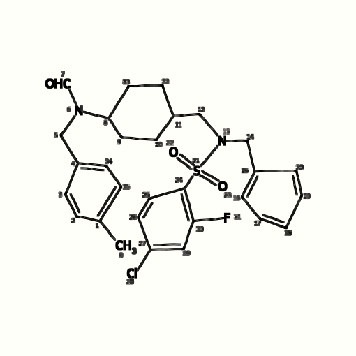 Cc1ccc(CN(C=O)C2CCC(CN(Cc3ccccc3)S(=O)(=O)c3ccc(Cl)cc3F)CC2)cc1